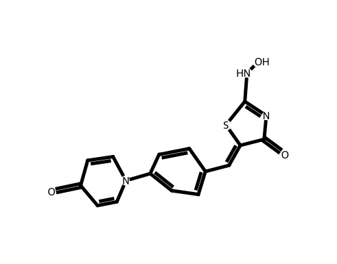 O=C1N=C(NO)S/C1=C\c1ccc(-n2ccc(=O)cc2)cc1